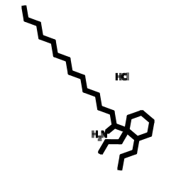 CCCCCCCCCCCCCC(N)C1(CCC)CCCCC1CCC.Cl